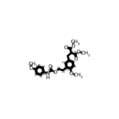 COC(=O)C(Cc1ccc(OC)c(CCOC(=O)Nc2ccc(OC)cc2)c1)C(=O)OC